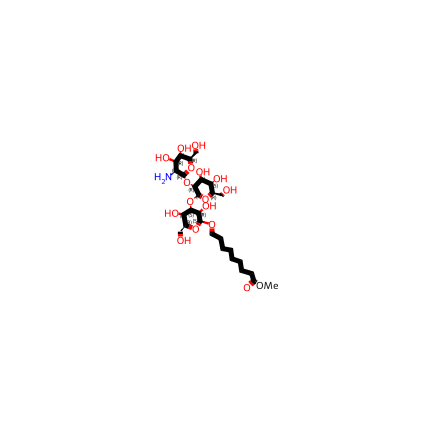 COC(=O)CCCCCCCCO[C@H]1O[C@H](CO)[C@@H](O)[C@H](O[C@H]2O[C@H](CO)[C@@H](O)[C@H](O)[C@H]2O[C@H]2O[C@H](CO)[C@@H](O)[C@H](O)[C@H]2N)[C@H]1O